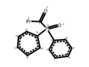 CC(C)C(=O)P(=O)(c1ccccc1)c1ccccc1